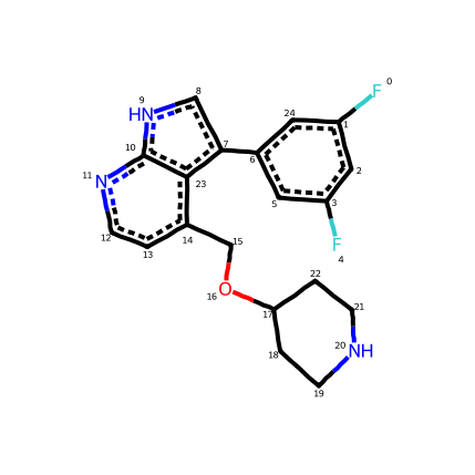 Fc1cc(F)cc(-c2c[nH]c3nccc(COC4CCNCC4)c23)c1